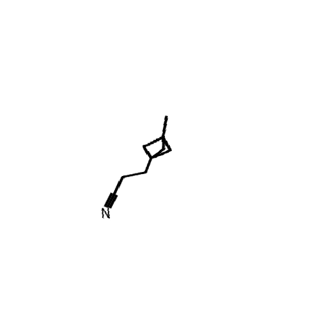 CC12CC(CCC#N)(C1)C2